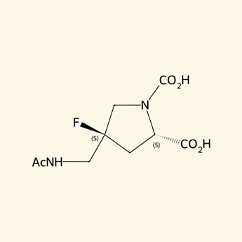 CC(=O)NC[C@@]1(F)C[C@@H](C(=O)O)N(C(=O)O)C1